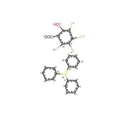 O=C([O-])c1c(O)c(F)c(F)c(F)c1F.c1ccc([S+](c2ccccc2)c2ccccc2)cc1